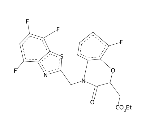 CCOC(=O)CC1Oc2c(F)cccc2N(Cc2nc3c(F)cc(F)c(F)c3s2)C1=O